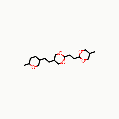 CC1COC(CCC2OCC(CCC3CCC(C)OC3)CO2)OC1